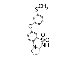 CSc1cccc(Oc2ccc3c(c2)S(=O)(=O)NC2CCCN32)c1